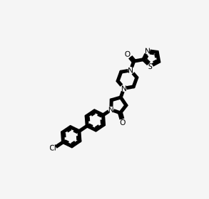 O=C(c1nccs1)N1CCN(C2CC(=O)N(c3ccc(-c4ccc(Cl)cc4)cc3)C2)CC1